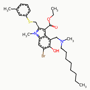 CCCCCCCCN(C)Cc1c(O)c(Br)cc2c1c(C(=O)OCC)c(CSc1cccc(C)c1)n2C